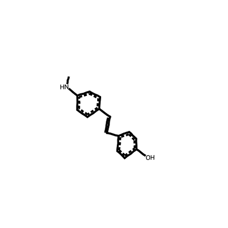 CNc1ccc(C=Cc2ccc(O)cc2)cc1